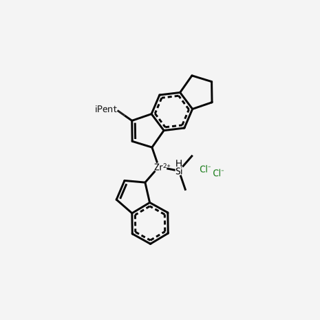 CCCC(C)C1=C[CH]([Zr+2]([CH]2C=Cc3ccccc32)[SiH](C)C)c2cc3c(cc21)CCC3.[Cl-].[Cl-]